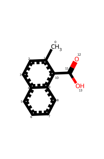 Cc1ccc2ccccc2c1C(=O)O